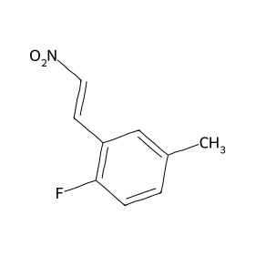 Cc1ccc(F)c(C=C[N+](=O)[O-])c1